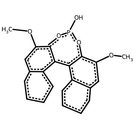 COc1cc2ccccc2c2c1op(O)oc1c(OC)cc3ccccc3c12